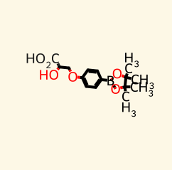 CC1(C)OB(c2ccc(OCC(O)C(=O)O)cc2)OC1(C)C